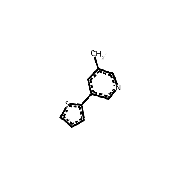 [CH2]c1cncc(-c2cccs2)c1